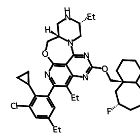 CCc1cc(Cl)c(C2CC2)c(-c2nc3c4c(nc(OC[C@@]56CCCCC5CCC[C@H](F)C6)nc4c2CC)N2C[C@@H](CC)NC[C@H]2CO3)c1